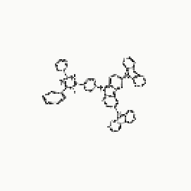 Cc1c(-c2ccccc2)nc(-c2ccccc2)nc1-c1ccc(-n2c3ccc(-n4c5ccccc5c5ccccc54)cc3c3cc(-n4c5ccccc5c5ccccc54)ccc32)cc1